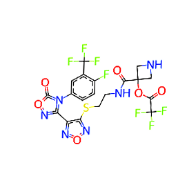 O=C(OC1(C(=O)NCCSc2nonc2-c2noc(=O)n2-c2ccc(F)c(C(F)(F)F)c2)CNC1)C(F)(F)F